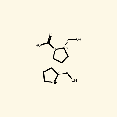 O=C(O)N1CCC[C@H]1CO.OC[C@@H]1CCCN1